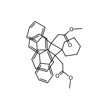 COC(=O)CC1(C2(C3(CC(=O)OC)c4ccccc4-c4ccccc43)CCCCC2)c2ccccc2-c2ccccc21